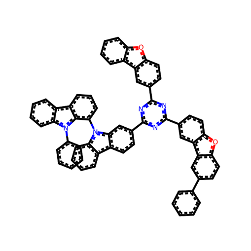 c1ccc(-c2ccc3oc4ccc(-c5nc(-c6ccc7oc8ccccc8c7c6)nc(-c6ccc7c8ccccc8n(-c8cccc9c%10ccccc%10n(-c%10ccccc%10)c89)c7c6)n5)cc4c3c2)cc1